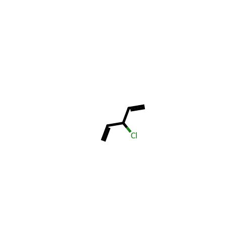 C=CC(Cl)C=C